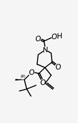 C=CCC1(C(=O)O[C@H](C)C(C)(C)C)CCN(C(=O)O)CC1=O